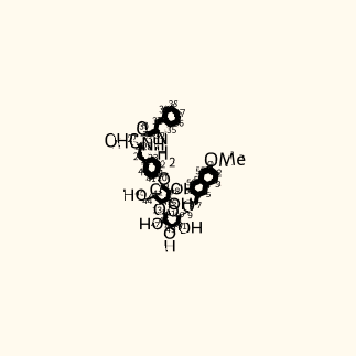 COc1ccc2cc(COC[C@H]3O[C@H](O[C@H]4[C@H](O)[C@H](O)[C@@H](Oc5ccc(C[C@H]([C]=O)NC(=O)[C@@H](N)Cc6ccccc6)cc5)O[C@@H]4CO)[C@@H](O)[C@@H](O)[C@@H]3O)ccc2c1